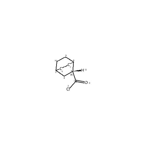 O=C(Cl)[C@@H]1CC2CCC1CC2